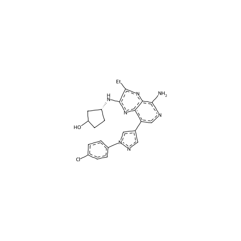 CCc1nc2c(N)ncc(-c3cnn(-c4ccc(Cl)cc4)c3)c2nc1N[C@@H]1CCC(O)C1